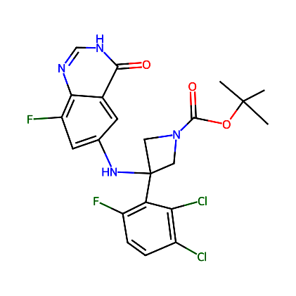 CC(C)(C)OC(=O)N1CC(Nc2cc(F)c3nc[nH]c(=O)c3c2)(c2c(F)ccc(Cl)c2Cl)C1